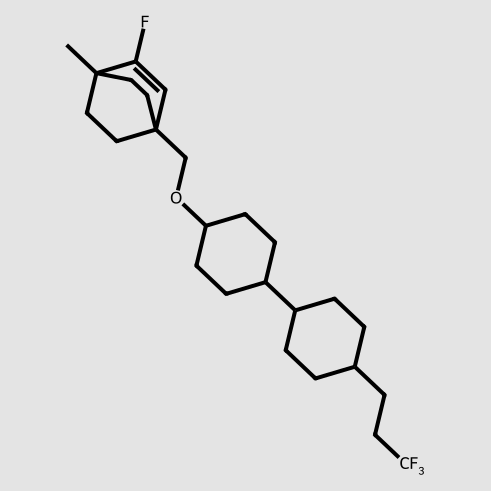 CC12CCC(COC3CCC(C4CCC(CCC(F)(F)F)CC4)CC3)(C=C1F)CC2